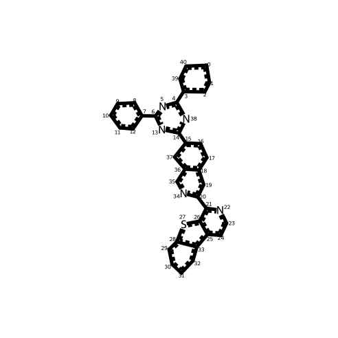 c1ccc(-c2nc(-c3ccccc3)nc(-c3ccc4cc(-c5nccc6c5sc5ccccc56)ncc4c3)n2)cc1